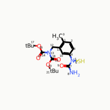 Cc1ccc(N(S)C(N)=O)cc1CN(C(=O)OC(C)(C)C)C(=O)OC(C)(C)C